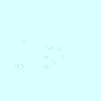 NC1CCC(Nc2nc(Nc3ccc(CN4CCOCC4)cc3)c3ncn(-c4ccccc4)c3n2)CC1